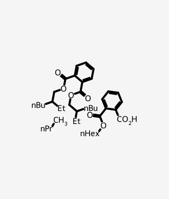 CCCC.CCCCC(CC)COC(=O)c1ccccc1C(=O)OCC(CC)CCCC.CCCCCCOC(=O)c1ccccc1C(=O)O